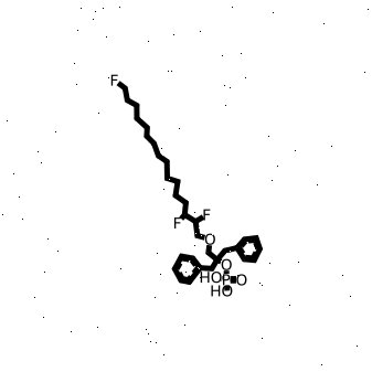 O=P(O)(O)OC(COCC(F)C(F)CCCCCCCCCCCCCF)(Cc1ccccc1)Cc1ccccc1